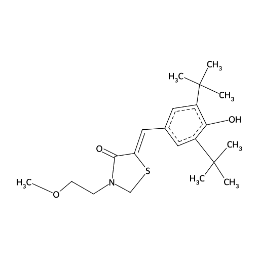 COCCN1CS/C(=C\c2cc(C(C)(C)C)c(O)c(C(C)(C)C)c2)C1=O